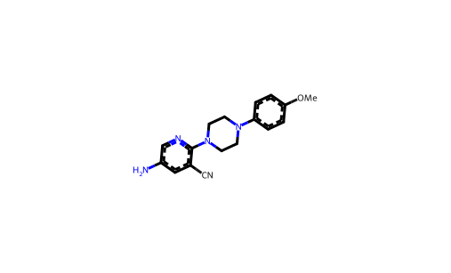 COc1ccc(N2CCN(c3ncc(N)cc3C#N)CC2)cc1